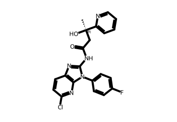 C[C@@](O)(CC(=O)Nc1nc2ccc(Cl)nc2n1-c1ccc(F)cc1)c1ccccn1